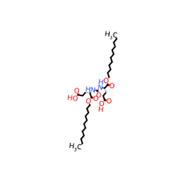 CCCCCCCCCCCCOC(=O)[C@H](CCC(=O)O)NC(=O)N[C@@H](CCC(=O)O)C(=O)OCCCCCCCCCCCC